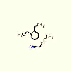 C=C=C=CC#N.C=Cc1ccccc1C=C